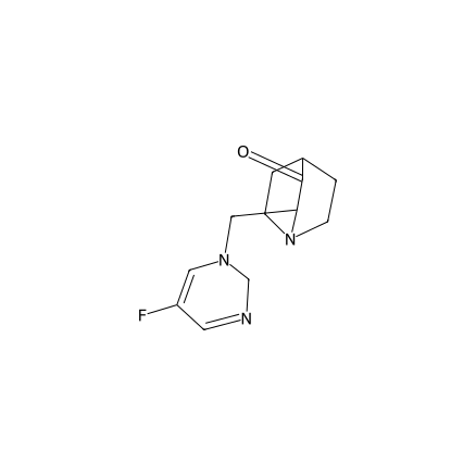 O=C1C2CCN(CC2)C1CN1C=C(F)C=NC1